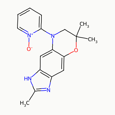 Cc1nc2cc3c(cc2[nH]1)N(c1cccc[n+]1[O-])CC(C)(C)O3